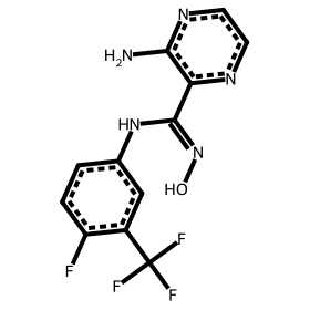 Nc1nccnc1/C(=N/O)Nc1ccc(F)c(C(F)(F)F)c1